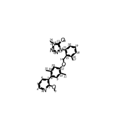 COc1ncccc1-c1cc(C)c(OCc2c(C)cccc2-n2nnn(C)c2=O)cc1C